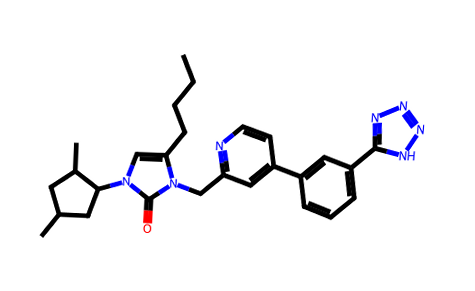 CCCCc1cn(C2CC(C)CC2C)c(=O)n1Cc1cc(-c2cccc(-c3nnn[nH]3)c2)ccn1